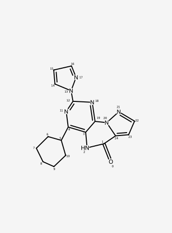 O=c1[nH]c2c(C3CCCCC3)nc(-n3cccn3)nc2n2nccc12